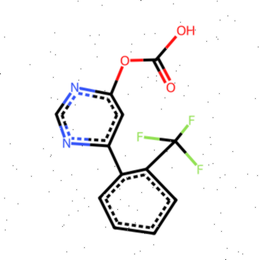 O=C(O)Oc1cc(-c2ccccc2C(F)(F)F)ncn1